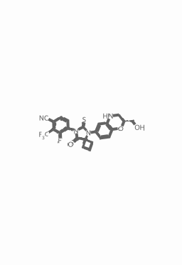 N#Cc1ccc(N2C(=O)C3(CCC3)N(c3ccc4c(c3)NC[C@@H](CO)O4)C2=S)c(F)c1C(F)(F)F